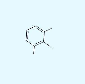 Clc1cccc(Cl)[c]1[SnH]